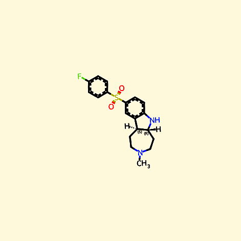 CN1CC[C@H]2Nc3ccc(S(=O)(=O)c4ccc(F)cc4)cc3[C@@H]2CC1